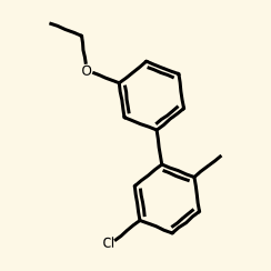 CCOc1cccc(-c2cc(Cl)ccc2C)c1